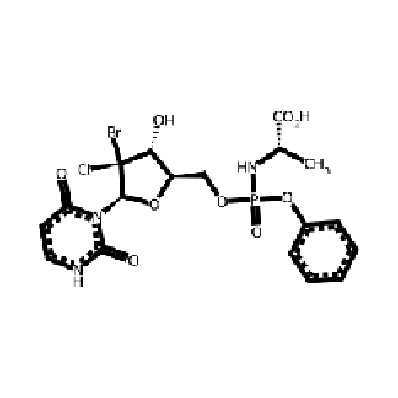 C[C@H](NP(=O)(OC[C@H]1O[C@@H](n2c(=O)cc[nH]c2=O)[C@](Cl)(Br)[C@@H]1O)Oc1ccccc1)C(=O)O